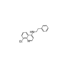 CCc1cccc2c(NCCc3ccccc3)ccnc12